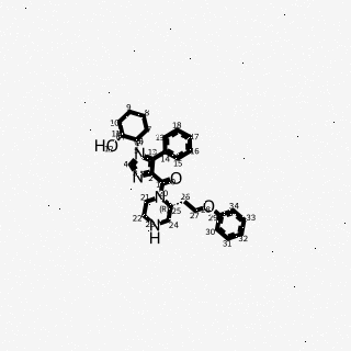 O=C(c1ncn([C@H]2CCCC[C@H]2O)c1-c1ccccc1)N1CCNC[C@H]1CCOc1ccccc1